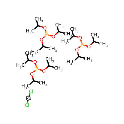 CC(C)OP(OC(C)C)OC(C)C.CC(C)OP(OC(C)C)OC(C)C.CC(C)OP(OC(C)C)OC(C)C.[Cl][Ru][Cl]